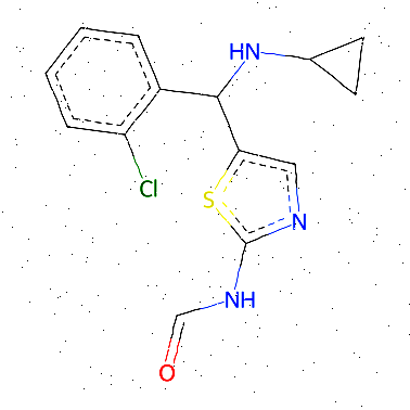 O=CNc1ncc(C(NC2CC2)c2ccccc2Cl)s1